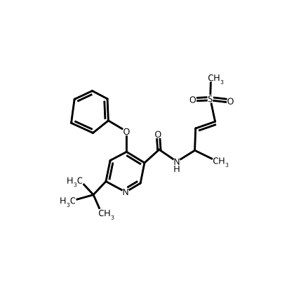 CC(C=CS(C)(=O)=O)NC(=O)c1cnc(C(C)(C)C)cc1Oc1ccccc1